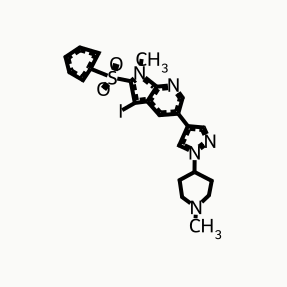 CN1CCC(n2cc(-c3cnc4c(c3)c(I)c(S(=O)(=O)c3ccccc3)n4C)cn2)CC1